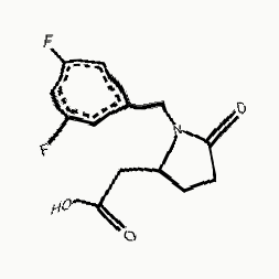 O=C(O)CC1CCC(=O)N1Cc1cc(F)cc(F)c1